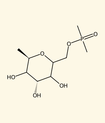 C[C@H]1OC(COP(C)(C)=O)C(O)[C@H](O)C1O